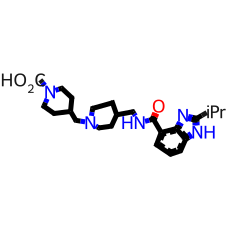 CC(C)c1nc2c(C(=O)NCC3CCN(CC4CCN(C(=O)O)CC4)CC3)cccc2[nH]1